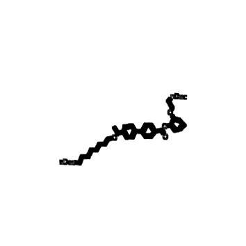 CCCCCCCCCCCCCCCCCCOC(C)c1ccc(-c2ccc(C(=O)Oc3ccccc3OCCCCCCCCCCCC)cc2)cc1